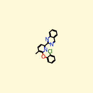 Cc1ccc(-c2ncc3ccccc3n2)nc1Oc1ccccc1Cl